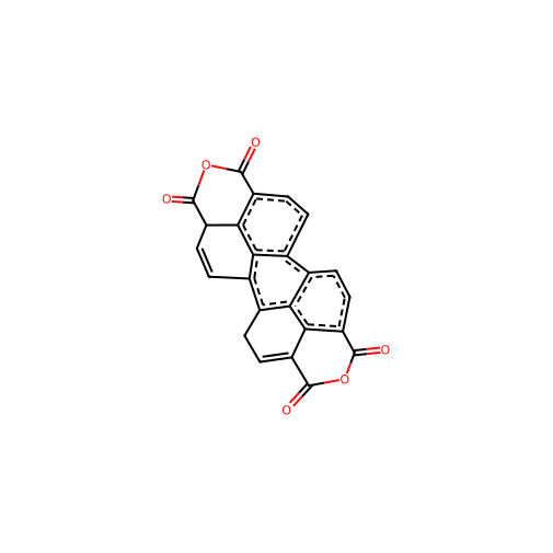 O=C1OC(=O)c2ccc3c4c(c5c6c7c(ccc63)C(=O)OC(=O)C7C=C5)CC=C1c24